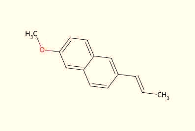 CC=Cc1ccc2cc(OC)ccc2c1